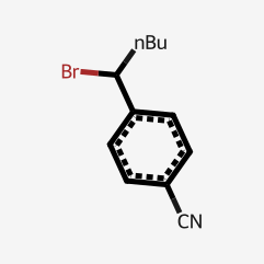 CCCCC(Br)c1ccc(C#N)cc1